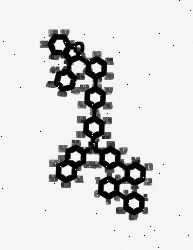 c1ccc(-c2ccccc2-c2ccccc2-c2ccc(N(c3ccc(-c4ccc(-c5cccc(-c6oc7ccccc7c6-c6ccccc6)c5)cc4)cc3)c3ccc4ccccc4c3)cc2)cc1